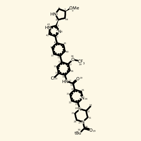 CO[C@@H]1CN[C@H](c2nc(-c3ccc(-c4cc(Cl)c(NC(=O)c5ccc(N6CCN(C(=O)C(C)(C)C)CC6C)nc5)cc4OC(F)(F)F)cc3)c[nH]2)C1